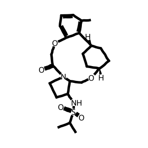 Cc1cccc2c1[C@H]1CC[C@H](CC1)OCC1C(NS(=O)(=O)C(C)C)CCN1C(=O)CO2